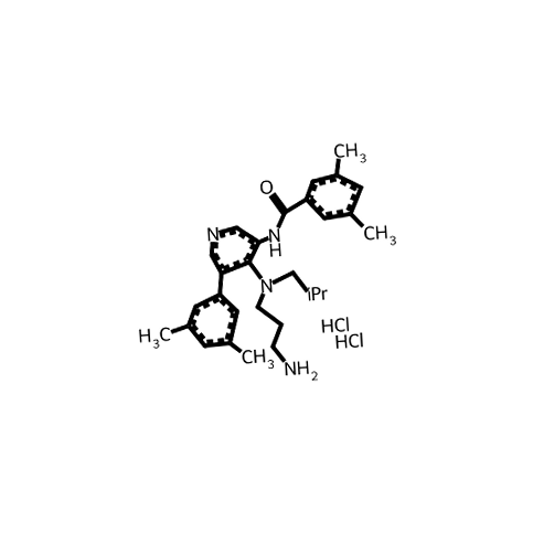 Cc1cc(C)cc(C(=O)Nc2cncc(-c3cc(C)cc(C)c3)c2N(CCCN)CC(C)C)c1.Cl.Cl